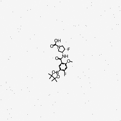 COc1cc(F)c(B2OC(C)(C)C(C)(C)O2)cc1C(=O)N[C@@H]1CN(C(=O)O)C[C@@H]1F